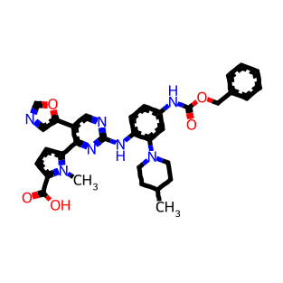 CC1CCN(c2cc(NC(=O)OCc3ccccc3)ccc2Nc2ncc(-c3cnco3)c(-c3ccc(C(=O)O)n3C)n2)CC1